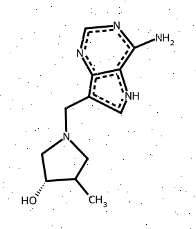 CC1CN(Cc2c[nH]c3c(N)ncnc23)C[C@H]1O